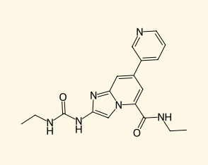 CCNC(=O)Nc1cn2c(C(=O)NCC)cc(-c3cccnc3)cc2n1